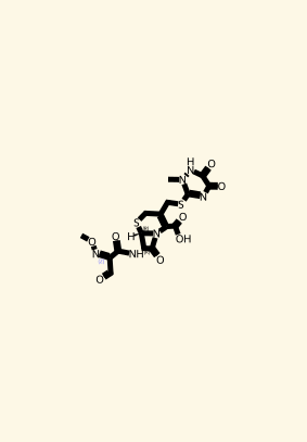 CO/N=C(/C=O)C(=O)N[C@@H]1C(=O)N2C(C(=O)O)=C(CSc3nc(=O)c(=O)[nH]n3C)CS[C@H]12